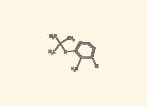 CC(C)(C)Oc1cccc(Cl)c1N